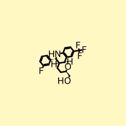 OC[C@H]1CC[C@@H]2[C@H](O1)c1cc(C(F)(F)F)ccc1N[C@H]2c1cccc(F)c1